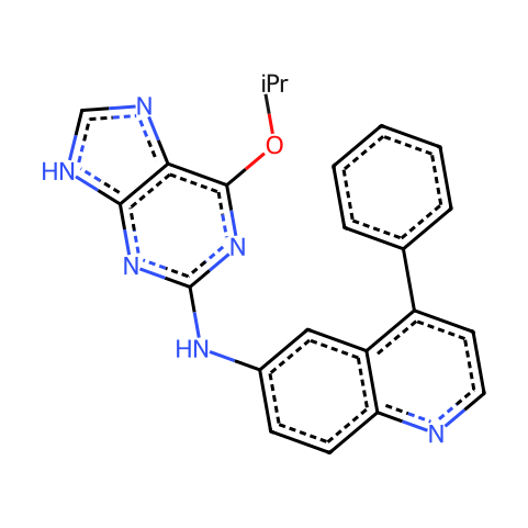 CC(C)Oc1nc(Nc2ccc3nccc(-c4ccccc4)c3c2)nc2[nH]cnc12